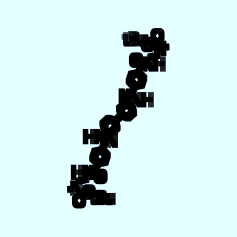 CN(CCNC(=O)c1ccc(-c2nc3cc(-c4ccc5[nH]c(-c6ccc(C(=O)NCCN(C)C(=O)OC(C)(C)C)cc6)nc5c4)ccc3[nH]2)cc1)C(=O)OC(C)(C)C